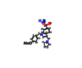 COc1ccc(Cn2cc(CN3CCCC3)c3ccc(C(=O)ON)cc32)cc1